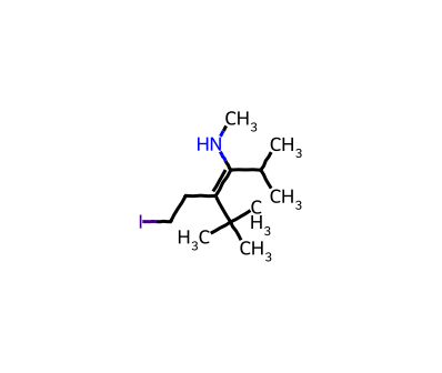 CN/C(=C(\CCI)C(C)(C)C)C(C)C